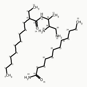 CCCCCCCCCCC(CC)C(=O)NC(C)C(N)CN.CCCCCCCCCCCC(N)=O